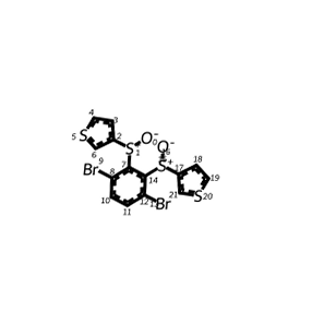 [O-][S+](c1ccsc1)c1c(Br)ccc(Br)c1[S+]([O-])c1ccsc1